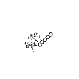 CCC(C)(C)[SiH2]C#Cc1ccc2cc3cc4cc5ccccc5cc4cc3cc2c1C#C[SiH2]C(C)(C)CC